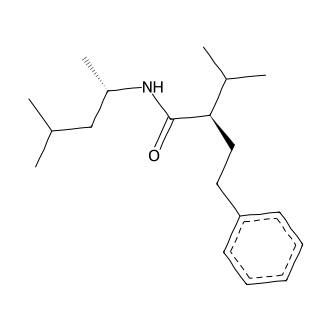 CC(C)C[C@H](C)NC(=O)[C@H](CCc1ccccc1)C(C)C